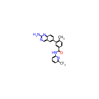 Cc1ccc(C(=O)Nc2cccc(C(F)(F)F)n2)cc1-c1ccc2nc(N)ncc2c1